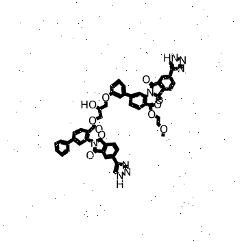 COCCOC(=O)c1ccc(-c2cccc(OCC(O)COC(=O)c3ccc(-c4ccccc4)cc3N3C(=O)c4ccc(-c5c[nH]nn5)cc4C3=O)c2)cc1N1C(=O)c2ccc(-c3c[nH]nn3)cc2C1=O